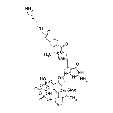 CSSC(C)c1cc(NC(=O)COCCOCCN)ccc1C(=O)OCC#Cc1cn([C@H]2CC(OC(=O)c3ccccc3C(C)SSC)[C@@H](COP(=O)(O)OP(=O)(O)OP(=O)(O)O)O2)c2nc(N)[nH]c(=O)c12